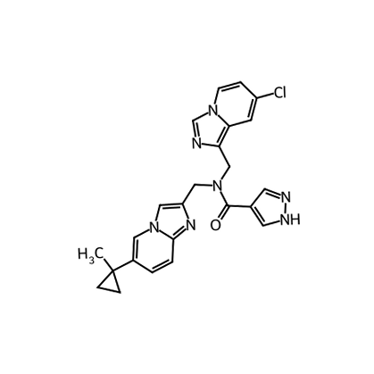 CC1(c2ccc3nc(CN(Cc4ncn5ccc(Cl)cc45)C(=O)c4cn[nH]c4)cn3c2)CC1